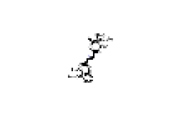 CO[Si](OC)(OC)C(C)OC(=O)/C=C/C(=O)OC(C)[Si](OC)(OC)OC